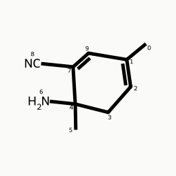 CC1=CCC(C)(N)C(C#N)=C1